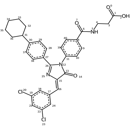 O=C(O)CCNC(=O)c1ccc(N2C(=O)/C(=C/c3cc(Cl)cc(Cl)c3)N=C2c2ccc(C3CCCCC3)cc2)cc1